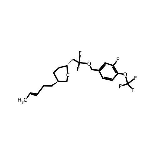 C/C=C/CC[C@H]1CC[C@H](CC(F)(F)OCc2ccc(OC(F)(F)F)c(F)c2)CC1